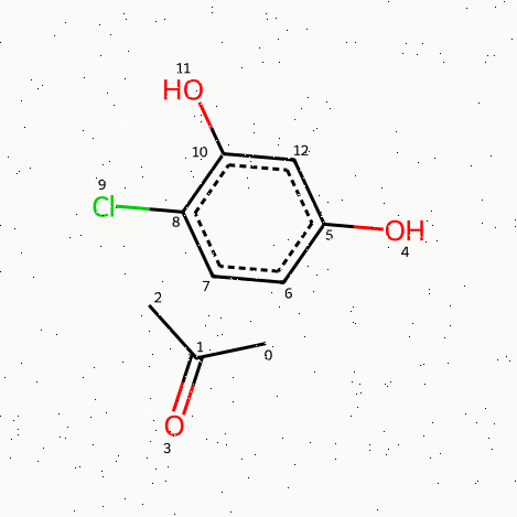 CC(C)=O.Oc1ccc(Cl)c(O)c1